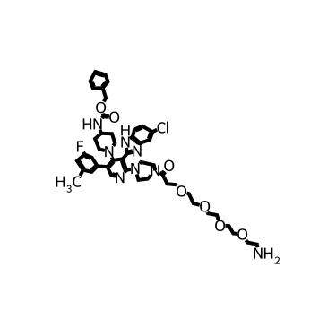 Cc1cc(F)cc(-c2cnc(N3CCN(C(=O)CCOCCOCCOCCOCCN)CC3)c(-c3nc4cc(Cl)ccc4[nH]3)c2N2CCC(NC(=O)OCc3ccccc3)CC2)c1